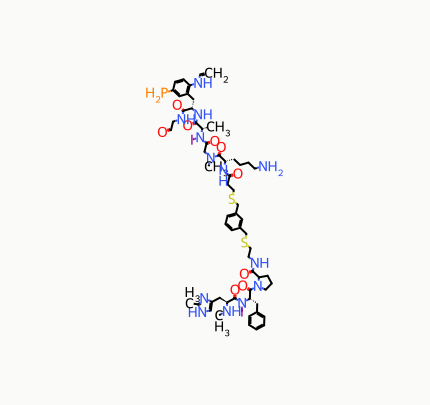 C=CNc1ccc(P)cc1C[C@H](NC(=O)[C@H](C)N(I)C(=O)CN(C)C(=O)[C@H](CCCCN)NC(=O)CCSCc1cccc(CSCCNC(=O)C2CCCN2C(=O)[C@H](Cc2ccccc2)N(I)C(=O)[C@H](Cc2c[nH]c(C)n2)NC)c1)C(=O)NCC=O